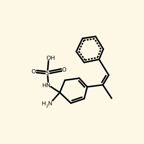 CC(=Cc1ccccc1)C1=CCC(N)(NS(=O)(=O)O)C=C1